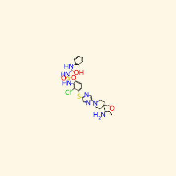 C[C@@H]1OCC2(CCN(c3cnc(Sc4cccc(NS(=O)(=O)NC(O)Nc5ccccc5)c4Cl)cn3)CC2)[C@@H]1N